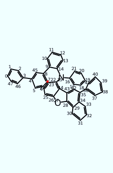 c1ccc(-c2cccc(-c3ccccc3N(c3ccccc3)c3cccc4oc5c6ccccc6c(-c6ccccc6)cc5c34)c2)cc1